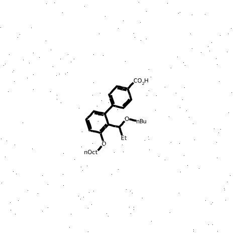 CCCCCCCCOc1cccc(-c2ccc(C(=O)O)cc2)c1C(CC)OCCCC